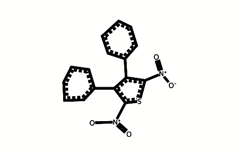 O=[N+]([O-])c1sc([N+](=O)[O-])c(-c2ccccc2)c1-c1ccccc1